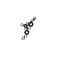 COCOc1ccc([C@H]2Oc3ccc(OCOC)cc3[C@H]3CC(=O)C[C@H]32)cc1